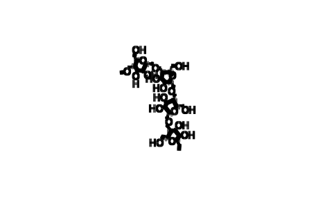 CC[C@H]1O[C@@H](CO)[C@@H](COC[C@H]2O[C@@H](CO)[C@@H](COC[C@H]3O[C@@H](CO)[C@@H](COC[C@H]4O[C@@H](CO)[C@@H](COC)C(O)C4O)C(O)C3O)C(O)C2O)C(O)C1O